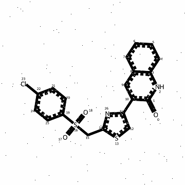 O=c1[nH]c2ccccc2cc1-c1csc(CS(=O)(=O)c2ccc(Cl)cc2)n1